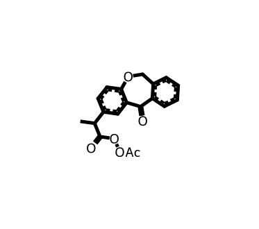 CC(=O)OOC(=O)C(C)c1ccc2c(c1)C(=O)c1ccccc1CO2